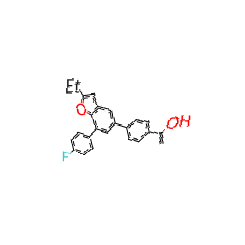 C=C(O)c1ccc(-c2cc(-c3ccc(F)cc3)c3oc(CC)cc3c2)cc1